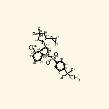 CC(F)(F)c1ccc(S(=O)(=O)n2nc(N3CC(F)(F)CC3C3CC3)c3c(Cl)cccc32)cc1